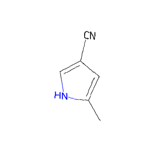 Cc1cc(C#N)c[nH]1